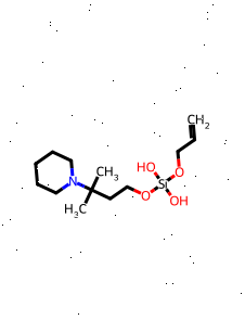 C=CCO[Si](O)(O)OCCC(C)(C)N1CCCCC1